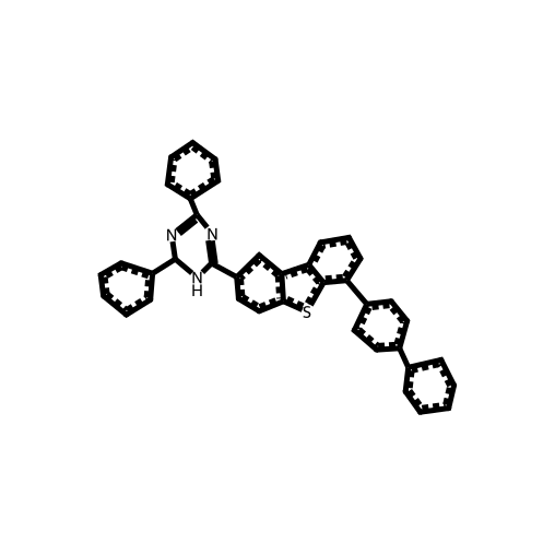 c1ccc(C2=NC(c3ccccc3)NC(c3ccc4sc5c(-c6ccc(-c7ccccc7)cc6)cccc5c4c3)=N2)cc1